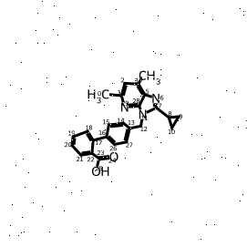 Cc1cc(C)c2nc(C3CC3)n(Cc3ccc(-c4ccccc4C(=O)O)cc3)c2n1